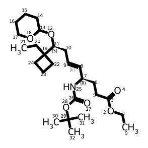 CCOC(=O)CC[C@H](/C=C/C[C@H](OC1CCCCO1)C1(CC)CCC1)NC(=O)OC(C)(C)C